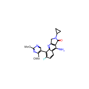 COc1ncc(-c2c(F)ccc3c(N)c4c(nc23)CN(C2CC2)C4=O)c(OC)n1